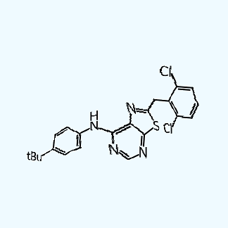 CC(C)(C)c1ccc(Nc2ncnc3sc(Cc4c(Cl)cccc4Cl)nc23)cc1